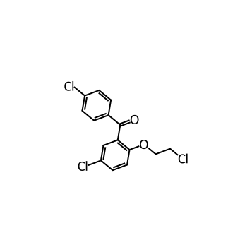 O=C(c1ccc(Cl)cc1)c1cc(Cl)ccc1OCCCl